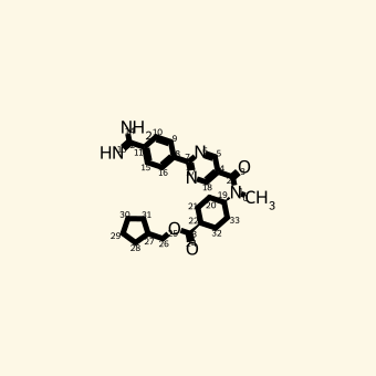 CN(C(=O)c1cnc(-c2ccc(C(=N)N)cc2)nc1)[C@H]1CC[C@H](C(=O)OCC2CCCC2)CC1